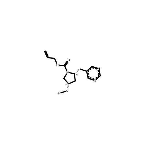 C=CCOC(=O)N1C[C@@H](SC(C)=O)C[C@H]1Cc1cncnc1